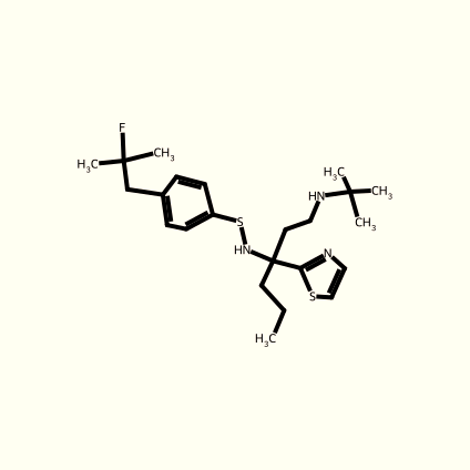 CCCC(CCNC(C)(C)C)(NSc1ccc(CC(C)(C)F)cc1)c1nccs1